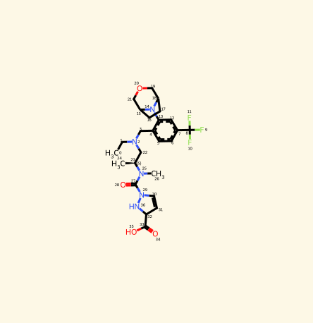 CCN(Cc1ccc(C(F)(F)F)cc1N1C2CCC1COC2)C[C@H](C)N(C)C(=O)N1C=CC(C(=O)O)N1